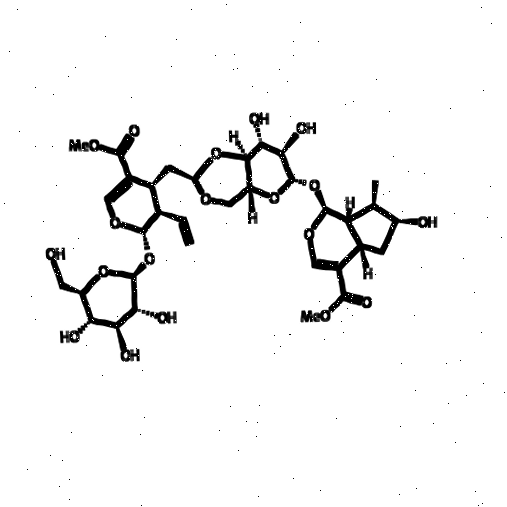 C=C[C@H]1[C@H](O[C@@H]2O[C@H](CO)[C@@H](O)[C@H](O)[C@H]2O)OC=C(C(=O)OC)[C@H]1C[C@@H]1OC[C@H]2O[C@@H](O[C@@H]3OC=C(C(=O)OC)[C@H]4C[C@H](O)[C@H](C)[C@@H]34)[C@H](O)[C@@H](O)[C@@H]2O1